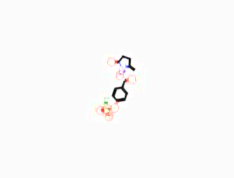 C=C1CCC(=O)N1OC(=O)c1ccc(OS(=O)(=O)F)cc1